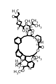 C=CC(=O)N1CC(F)(C(=O)N(C)[C@H](C(=O)NC2Cc3cccc(c3)-c3ccc4c(c3)c(c(-c3cccnc3[C@H](C)OC)n4CC)CC(C)(C)COC(=O)[C@@H]3CCCN(N3)C2=O)C(C)C)C1